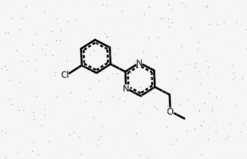 COCc1cnc(-c2cccc(Cl)c2)nc1